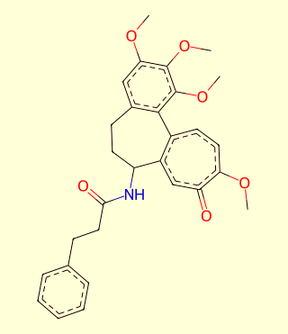 COc1cc2c(c(OC)c1OC)-c1ccc(OC)c(=O)cc1C(NC(=O)CCc1ccccc1)CC2